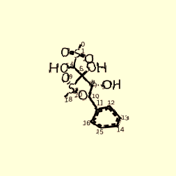 CS(=O)(=O)C(O)C(O)([C@H](O)Cc1ccccc1)S(C)(=O)=O